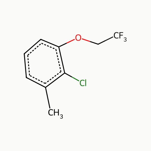 Cc1cccc(OCC(F)(F)F)c1Cl